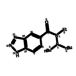 CCCCN(CCCC)N(CC)C(=O)c1ccc2[nH]nnc2c1